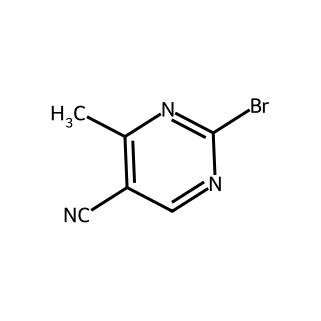 Cc1nc(Br)ncc1C#N